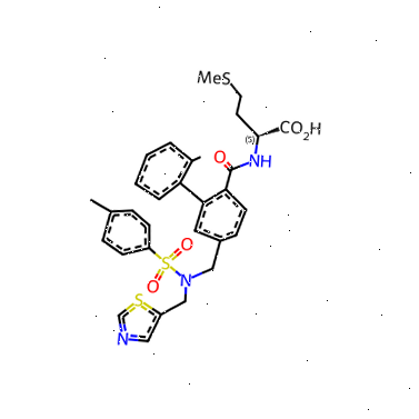 CSCC[C@H](NC(=O)c1ccc(CN(Cc2cncs2)S(=O)(=O)c2ccc(C)cc2)cc1-c1ccccc1C)C(=O)O